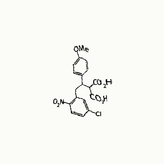 COc1ccc(C(Cc2cc(Cl)ccc2[N+](=O)[O-])C(C(=O)O)C(=O)O)cc1